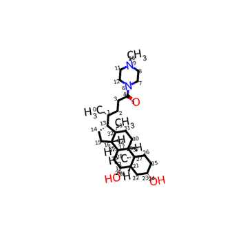 C[C@H](CCC(=O)N1CCN(C)CC1)[C@H]1CC[C@H]2[C@@H]3C[C@@H](O)[C@H]4C[C@@H](O)CC[C@]4(C)[C@H]3CC[C@]12C